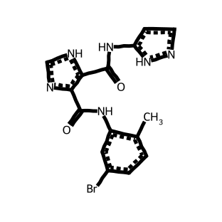 Cc1ccc(Br)cc1NC(=O)c1nc[nH]c1C(=O)Nc1ccn[nH]1